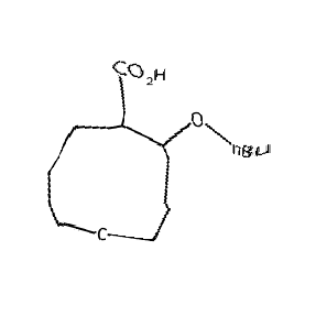 CCCCOC1CCCCCCC1C(=O)O